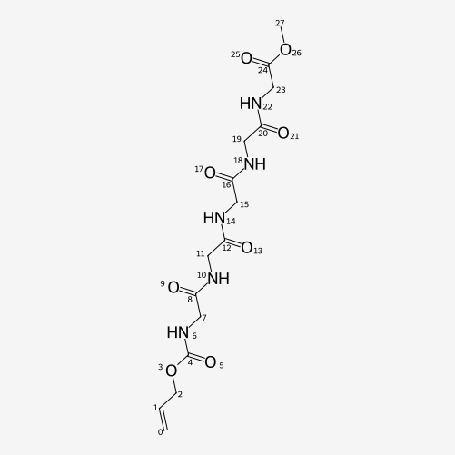 C=CCOC(=O)NCC(=O)NCC(=O)NCC(=O)NCC(=O)NCC(=O)OC